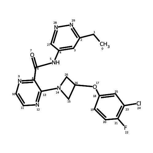 CCc1cc(NC(=O)c2nccnc2N2CC(Oc3ccc(F)c(Cl)c3)C2)cnn1